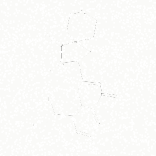 Cc1cc(C(C)Br)c2oc(C3CC4(CCNCC4)C(=O)N3C)cc(=O)c2c1